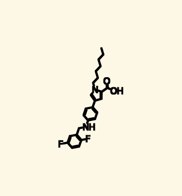 CCCCCCCn1cc(-c2ccc(NCc3cc(F)ccc3F)cc2)cc1C(=O)O